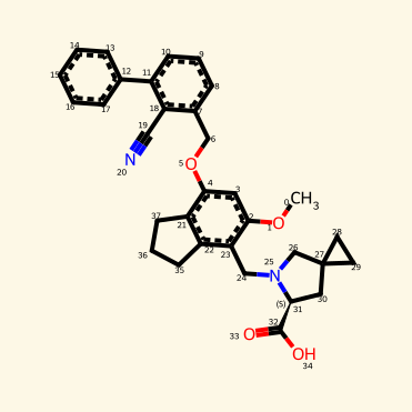 COc1cc(OCc2cccc(-c3ccccc3)c2C#N)c2c(c1CN1CC3(CC3)C[C@H]1C(=O)O)CCC2